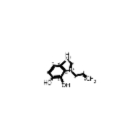 C=CC[n+]1c[nH]c2ccc(O)c(O)c21